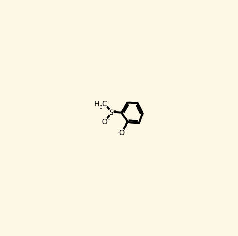 C[S+]([O-])c1ccccc1[O]